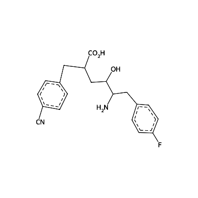 N#Cc1ccc(CC(CC(O)C(N)Cc2ccc(F)cc2)C(=O)O)cc1